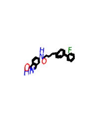 O=C(CCCc1ccc(-c2ccccc2F)cc1)Nc1ccc2c(c1)CNC2=O